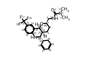 CN(C)C(=O)NC[C@H]1CC[C@@H]2[C@H](O1)c1cc(C(F)(F)F)ccc1N[C@H]2C1C=CC=CC1